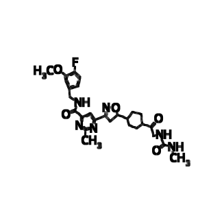 CNC(=O)NCC(=O)C1CCC(C2CC(c3cc(C(=O)NCc4ccc(F)c(OC)c4)nc(C)n3)=NO2)CC1